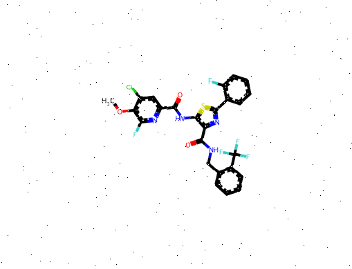 COc1c(Cl)cc(C(=O)Nc2sc(-c3ccccc3F)nc2C(=O)NCc2ccccc2C(F)(F)F)nc1F